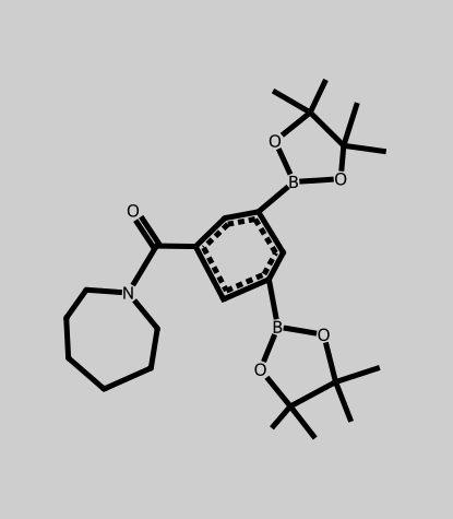 CC1(C)OB(c2cc(B3OC(C)(C)C(C)(C)O3)cc(C(=O)N3CCCCCC3)c2)OC1(C)C